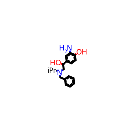 CC(C)N(Cc1ccccc1)CC(O)c1ccc(O)c(N)c1